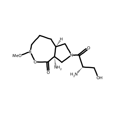 COB1CCC[C@H]2CN(C(=O)[C@@H](N)CO)C[C@@]2(N)C(=O)O1